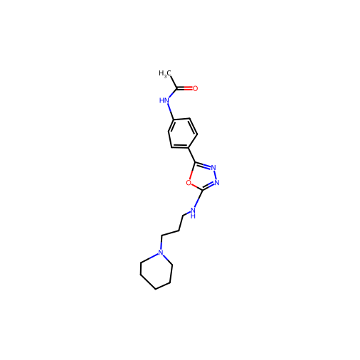 CC(=O)Nc1ccc(-c2nnc(NCCCN3CCCCC3)o2)cc1